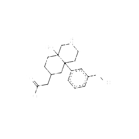 COc1cccc(C23CCNCC2(O)CCC(CC(C)=O)C3)c1